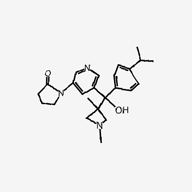 CC(C)c1ccc(C(O)(c2cncc(N3CCCC3=O)c2)C2(C)CN(C)C2)cc1